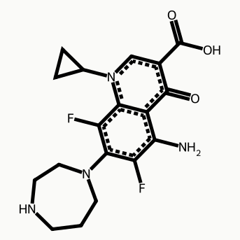 Nc1c(F)c(N2CCCNCC2)c(F)c2c1c(=O)c(C(=O)O)cn2C1CC1